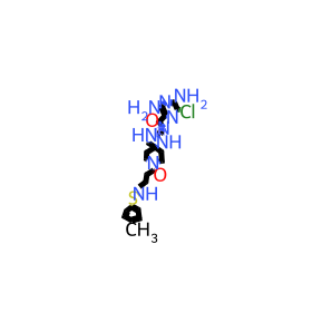 Cc1ccc(SNCCCC(=O)N2CCC3(CC2)CN/C(=N\C(=O)c2nc(Cl)c(N)nc2N)N3)cc1